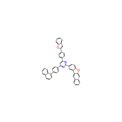 c1ccc2cc3c(cc2c1)oc1ccc(-c2nc(-c4ccc(-c5cc6ccccc6o5)cc4)cc(-c4ccc(-c5cccc6ccccc56)cc4)n2)cc13